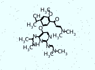 CNC(C)=Nc1nc(N=CN(C)C)ncc1Oc1cc(C(=O)C=CN(C)C)c(OC)cc1C(C)C